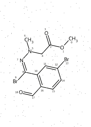 COC(=O)CN(C)/N=C(/Br)c1cc(Br)ccc1C=O